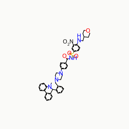 CN1c2ccccc2-c2ccccc2C1c1ccccc1CN1CCN(c2ccc(C(=O)NS(=O)(=O)c3ccc(NCC4CCOCC4)c([N+](=O)[O-])c3)cc2)CC1